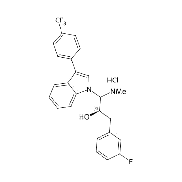 CNC([C@H](O)Cc1cccc(F)c1)n1cc(-c2ccc(C(F)(F)F)cc2)c2ccccc21.Cl